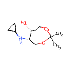 CC1(C)OC[C@@H](O)[C@H](NC2CC2)CO1